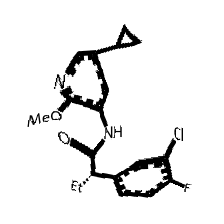 CC[C@H](C(=O)Nc1cc(C2CC2)cnc1OC)c1ccc(F)c(Cl)c1